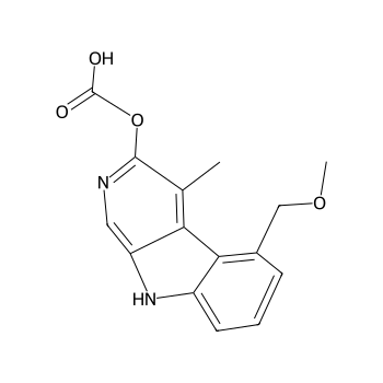 COCc1cccc2[nH]c3cnc(OC(=O)O)c(C)c3c12